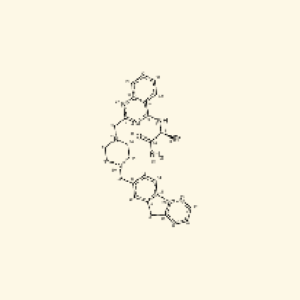 CC(C)[C@H](Nc1nc(CN2CCN(Cc3ccc4c(c3)Cc3ccccc3-4)CC2)nc2ccccc12)C(N)=O